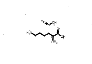 NCCCCC(N)C(=O)O.O=NO